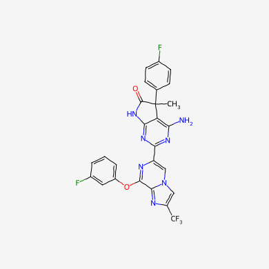 CC1(c2ccc(F)cc2)C(=O)Nc2nc(-c3cn4cc(C(F)(F)F)nc4c(Oc4cccc(F)c4)n3)nc(N)c21